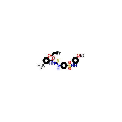 Bc1ccc(OCCC(C)C)c(C(=O)NC(=S)Nc2ccc(S(=O)(=O)Nc3ccc(OCC)cc3)cc2)c1